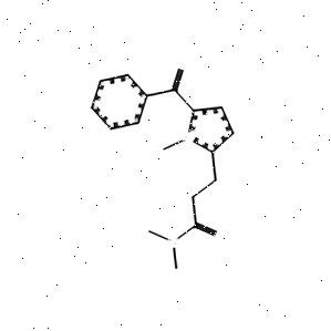 CN(C)C(=O)CCc1ccc(C(=O)c2ccccc2)n1C